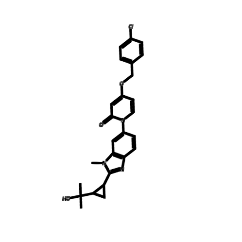 Cn1c(C2CC2C(C)(C)O)nc2ccc(-n3ccc(OCc4ccc(Cl)cc4)cc3=O)cc21